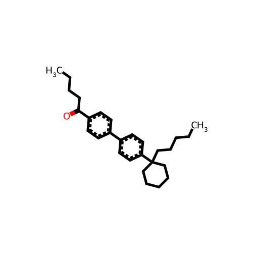 CCCCCC1(c2ccc(-c3ccc(C(=O)CCCC)cc3)cc2)CCCCC1